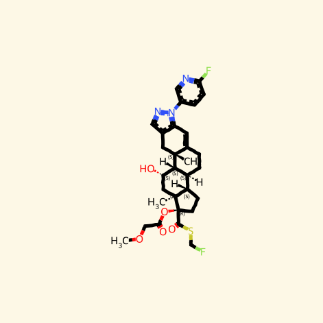 COCC(=O)O[C@]1(C(=O)SCF)CC[C@H]2[C@@H]3CCC4=Cc5c(cnn5-c5ccc(F)nc5)C[C@@]4(C)[C@H]3[C@@H](O)C[C@@]21C